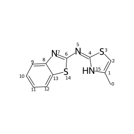 Cc1cs/c(=N/c2nc3ccccc3s2)[nH]1